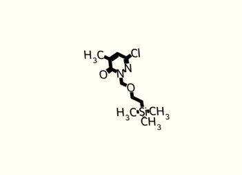 Cc1cc(Cl)nn(COCC[Si](C)(C)C)c1=O